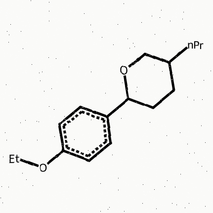 CCCC1CCC(c2ccc(OCC)cc2)OC1